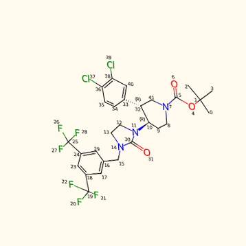 CC(C)(C)OC(=O)N1CC[C@@H](N2CCN(Cc3cc(C(F)(F)F)cc(C(F)(F)F)c3)C2=O)[C@H](c2ccc(Cl)c(Cl)c2)C1